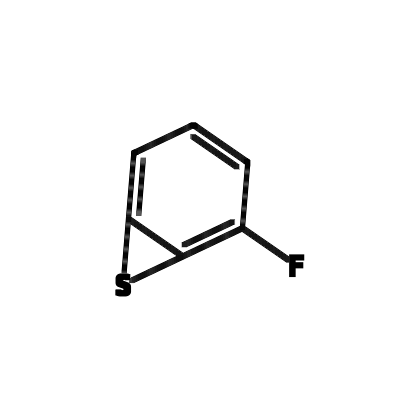 Fc1cccc2c1S2